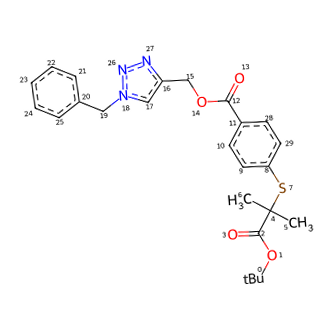 CC(C)(C)OC(=O)C(C)(C)Sc1ccc(C(=O)OCc2cn(Cc3ccccc3)nn2)cc1